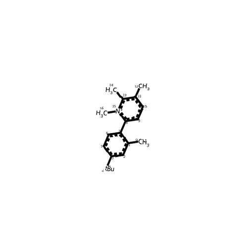 Cc1cc(C(C)(C)C)ccc1-c1ccc(C)c(C)[n+]1C